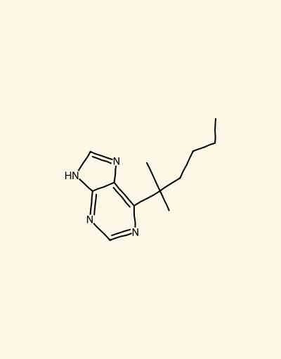 CCCCC(C)(C)c1ncnc2[nH]cnc12